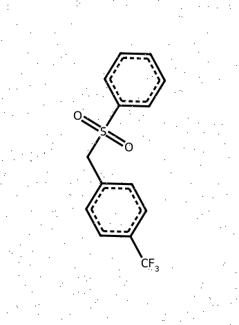 O=S(=O)(Cc1ccc(C(F)(F)F)cc1)c1ccccc1